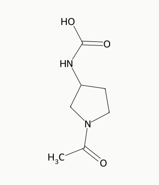 CC(=O)N1CCC(NC(=O)O)C1